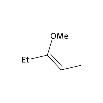 C/C=C(/CC)OC